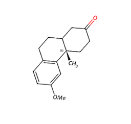 COc1ccc2c(c1)[C@@]1(C)CCC(=O)CC1CC2